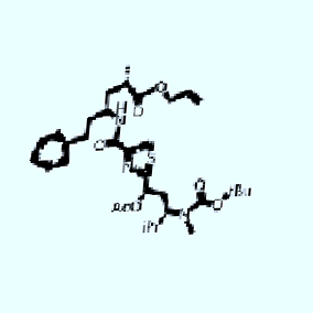 C=CCOC(=O)[C@@H](C)C[C@H](CCc1ccccc1)NC(=O)c1csc([C@@H](C[C@H](C(C)C)N(C)C(=O)OC(C)(C)C)OC(C)=O)n1